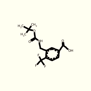 CC(C)(C)OC(=O)NCc1cc(C(=O)O)ccc1C(F)(F)F